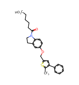 O=C(O)CCCCC(=O)N1CCc2cc(OCc3cc(-c4ccccc4)c(C(F)(F)F)s3)ccc21